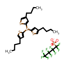 CCCCc1csc([S+](c2cc(CCCC)cs2)c2cc(CCCC)cs2)c1.O=S(=O)([O-])C(F)(F)C(F)(F)C(F)(F)C(F)(F)F